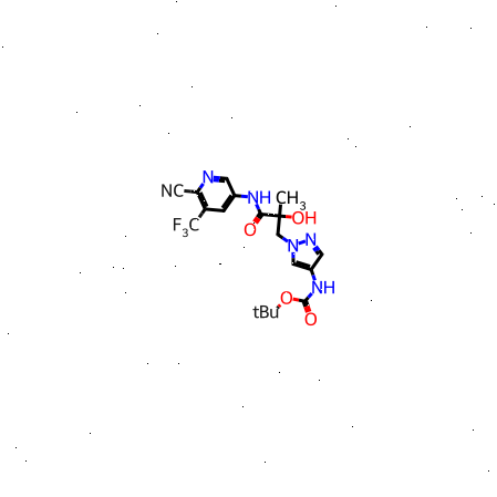 CC(C)(C)OC(=O)Nc1cnn(CC(C)(O)C(=O)Nc2cnc(C#N)c(C(F)(F)F)c2)c1